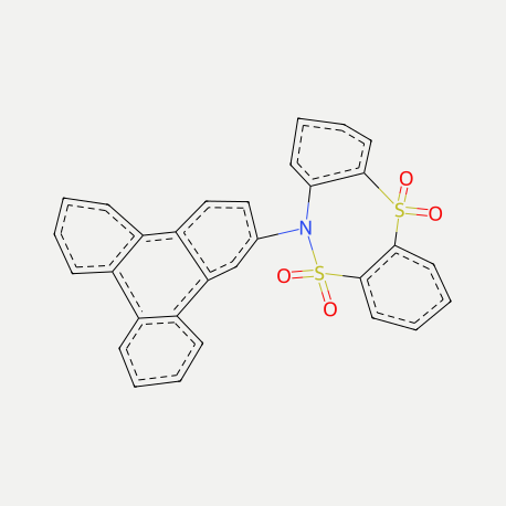 O=S1(=O)c2ccccc2N(c2ccc3c4ccccc4c4ccccc4c3c2)S(=O)(=O)c2ccccc21